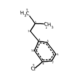 CC(C)Cc1cc[c]c(Cl)c1